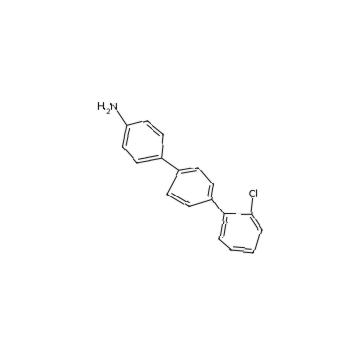 Nc1ccc(-c2ccc(-c3ccccc3Cl)cc2)cc1